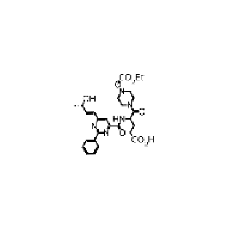 CCOC(=O)ON1CCN(C(=O)C(CCC(=O)O)NC(=O)c2cc(/C=C/[C@H](C)O)nc(-c3ccccc3)n2)CC1